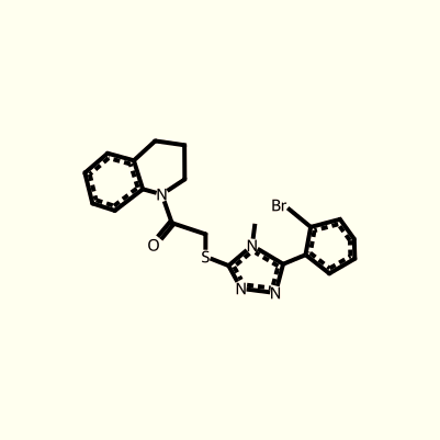 Cn1c(SCC(=O)N2CCCc3ccccc32)nnc1-c1ccccc1Br